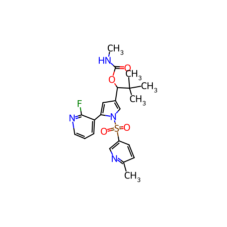 CNC(=O)OC(c1cc(-c2cccnc2F)n(S(=O)(=O)c2ccc(C)nc2)c1)C(C)(C)C